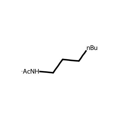 CCCCCCC[N]C(C)=O